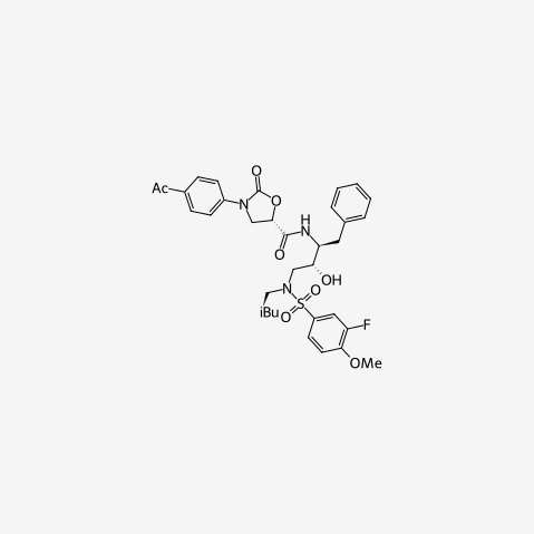 CC[C@H](C)CN(C[C@@H](O)[C@H](Cc1ccccc1)NC(=O)[C@@H]1CN(c2ccc(C(C)=O)cc2)C(=O)O1)S(=O)(=O)c1ccc(OC)c(F)c1